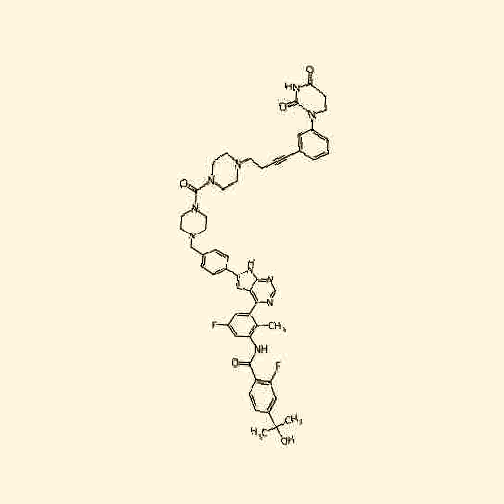 Cc1c(NC(=O)c2ccc(C(C)(C)O)cc2F)cc(F)cc1-c1ncnc2[nH]c(-c3ccc(CN4CCN(C(=O)N5CCN(CCC#Cc6cccc(N7CCC(=O)NC7=O)c6)CC5)CC4)cc3)cc12